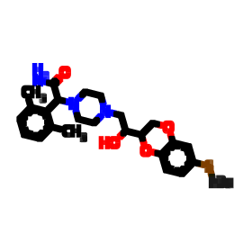 CCCCSc1ccc2c(c1)OCC(C(O)CN1CCN(C(C(N)=O)c3c(C)cccc3C)CC1)O2